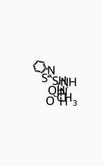 C1CNCN1.CC(=O)O.Sc1nc2ccccc2s1